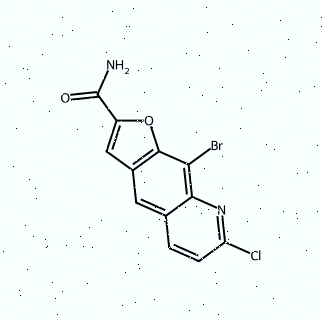 NC(=O)c1cc2cc3ccc(Cl)nc3c(Br)c2o1